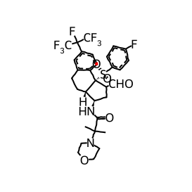 CC(C)(C(=O)N[C@@H]1CC(C=O)[C@]2(S(=O)(=O)c3ccc(F)cc3)c3ccc(C(F)(C(F)(F)F)C(F)(F)F)cc3CC[C@@H]12)N1CCOCC1